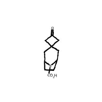 O=C1CC2(C1)CC1CCC(C2)N1C(=O)O